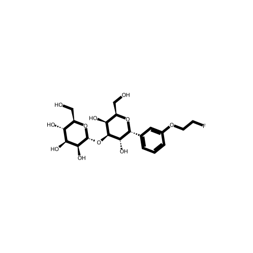 OC[C@H]1O[C@H](c2cccc(OCCF)c2)[C@H](O)[C@@H](O[C@H]2O[C@H](CO)[C@@H](O)[C@H](O)[C@@H]2O)[C@H]1O